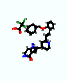 O=C(O)C(F)(F)F.O=C1NCCc2[nH]c(-c3ccnc(C=Cc4ccccc4OCc4ccccc4)c3)cc21